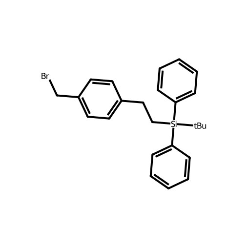 CC(C)(C)[Si](CCc1ccc(CBr)cc1)(c1ccccc1)c1ccccc1